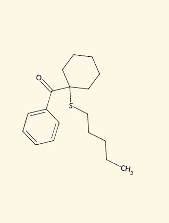 CCCCCSC1(C(=O)c2ccccc2)CCCCC1